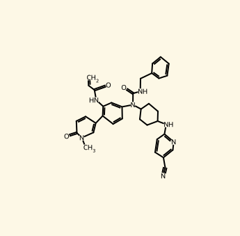 C=CC(=O)Nc1cc(N(C(=O)NCc2ccccc2)C2CCC(Nc3ccc(C#N)cn3)CC2)ccc1-c1ccc(=O)n(C)c1